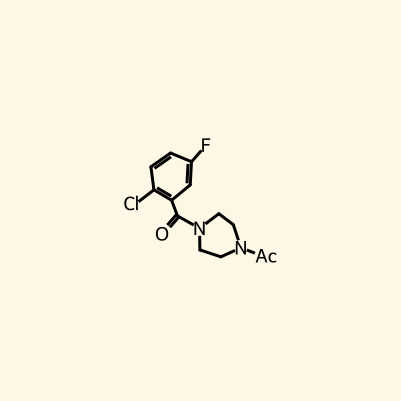 [CH2]C(=O)N1CCN(C(=O)c2cc(F)ccc2Cl)CC1